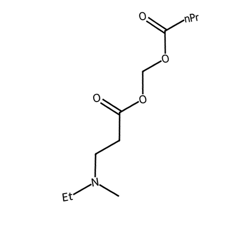 CCCC(=O)OCOC(=O)CCN(C)CC